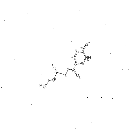 CCOC(=O)CCC(=O)c1ccc(=O)[nH]c1